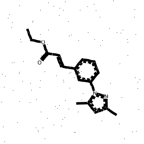 CCOC(=O)/C=C/c1cccc(-n2nc(C)cc2C)c1